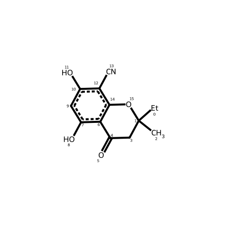 CCC1(C)CC(=O)c2c(O)cc(O)c(C#N)c2O1